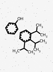 CC(C)c1cccc(C(C)C)c1C(C)C.Oc1ccccc1